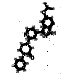 CC(C)Oc1ccc2[nH]nc(-c3ccnc(N4CCN(c5ccccc5)C(=O)C4)c3)c2c1